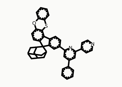 c1ccc(-c2cc(-c3ccncc3)nc(-c3ccc4c(c3)C3(c5ccc6c(c5-4)Sc4ccccc4O6)C4CC5CC(C4)CC3C5)c2)cc1